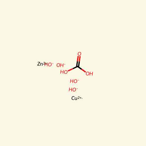 O=C(O)O.[Cu+2].[OH-].[OH-].[OH-].[OH-].[Zn+2]